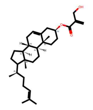 C=C(CO)C(=O)O[C@H]1CC[C@@]2(C)C(=CC[C@@H]3[C@@H]2CC[C@]2(C)C([C@H](C)CCC=C(C)C)CC[C@@H]32)C1